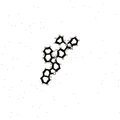 C1=CC2C=Cc3c(oc4ccc5c(c6ccc7ccccc7c6n5-c5ccc(-c6nc7ccccc7n6-c6ccccc6)cc5)c34)C2C=C1